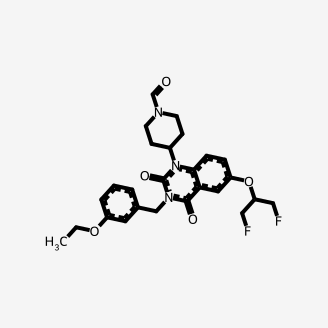 CCOc1cccc(Cn2c(=O)c3cc(OC(CF)CF)ccc3n(C3CCN(C=O)CC3)c2=O)c1